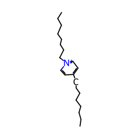 CCCCCCCCc1cc[n+](CCCCCCCC)cc1